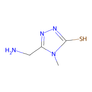 Cn1c(S)nnc1CN